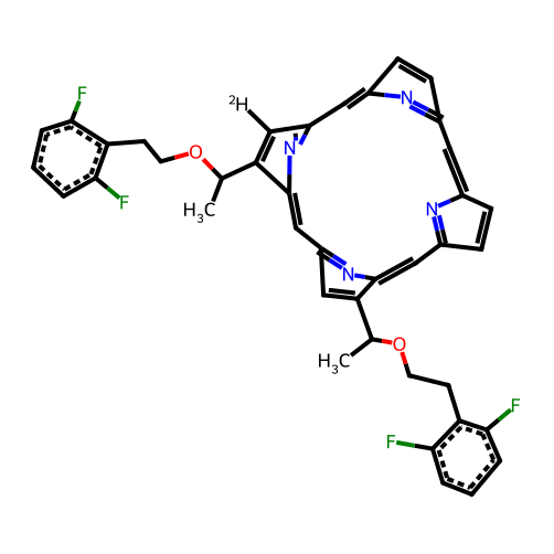 [2H]C1=C(C(C)OCCc2c(F)cccc2F)C2=CC3=NC(=CC4=NC(=CC5=NC(=CC1=N2)C=C5)C=C4)C(C(C)OCCc1c(F)cccc1F)=C3